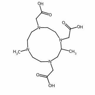 CC1CN(CC(=O)O)CCN(C)CCN(CC(=O)O)CCN1CC(=O)O